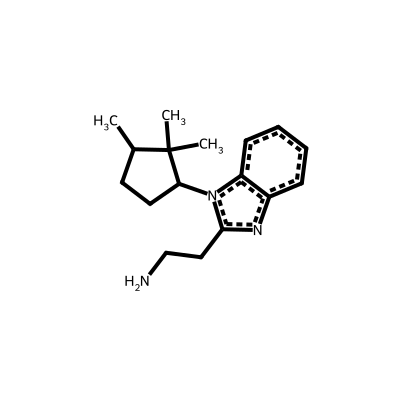 CC1CCC(n2c(CCN)nc3ccccc32)C1(C)C